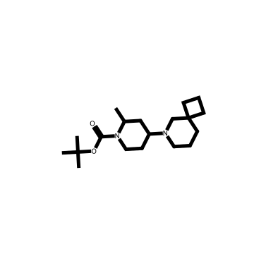 CC1CC(N2CCCC3(CCC3)C2)CCN1C(=O)OC(C)(C)C